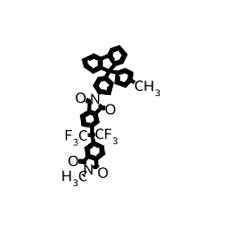 Cc1ccc(C2(c3ccc(N4C(=O)c5ccc(C(c6ccc7c(c6)C(=O)N(C)C7=O)(C(F)(F)F)C(F)(F)F)cc5C4=O)cc3)c3ccccc3-c3ccccc32)cc1